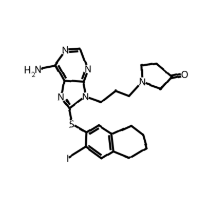 Nc1ncnc2c1nc(Sc1cc3c(cc1I)CCCC3)n2CCCN1CCC(=O)C1